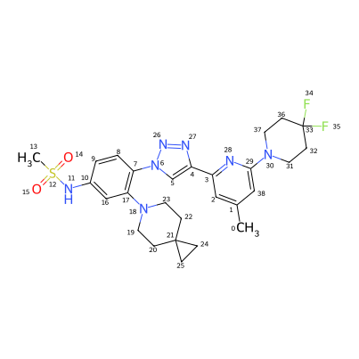 Cc1cc(-c2cn(-c3ccc(NS(C)(=O)=O)cc3N3CCC4(CC3)CC4)nn2)nc(N2CCC(F)(F)CC2)c1